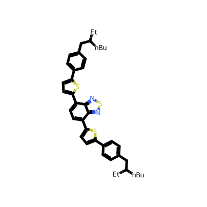 CCCCC(CC)Cc1ccc(-c2ccc(-c3ccc(-c4ccc(-c5ccc(CC(CC)CCCC)cc5)s4)c4nsnc34)s2)cc1